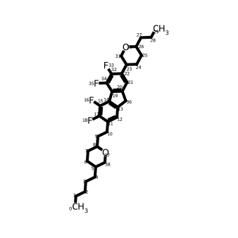 CCCCCC1CCC(CCc2cc3c(c(F)c2F)-c2c(cc(C4CCC(CCC)OC4)c(F)c2F)C3)OC1